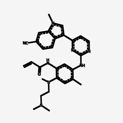 C=CC(=O)Nc1cc(Nc2nccc(-c3cn(C)c4cc(C#N)ccc34)n2)c(C)cc1N(C)CCN(C)C